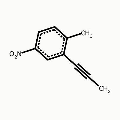 CC#Cc1cc([N+](=O)[O-])ccc1C